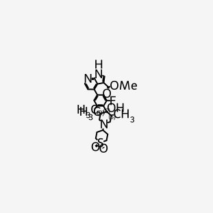 COC(=O)c1c[nH]c2nccc(-c3cc(C)c([C@@]4(O)[C@H](C)CN(C5CCS(=O)(=O)CC5)C[C@@H]4C)c(F)c3)c12